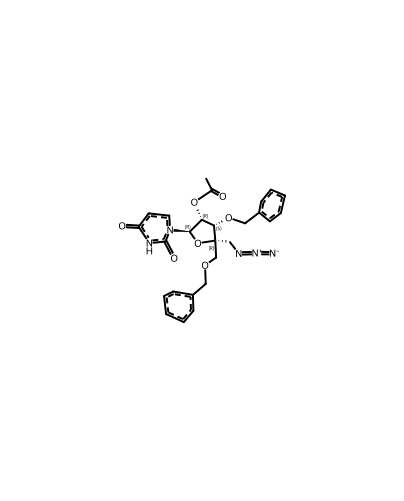 CC(=O)O[C@H]1[C@H](n2ccc(=O)[nH]c2=O)O[C@](CN=[N+]=[N-])(COCc2ccccc2)[C@H]1OCc1ccccc1